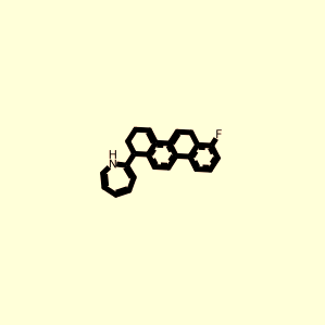 Fc1cccc2c1CC=c1c-2ccc2c1=CCCC2C1=CC=CC=CN1